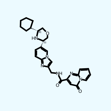 O=C(NCc1cn2cc([C@H]3COC[C@@H](C4CCCCC4)N3)ccc2n1)c1cc(=O)n2ccccc2n1